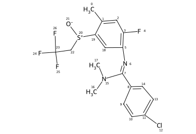 Cc1cc(F)c(/N=C(/c2ccc(Cl)cc2)N(C)C)cc1[S+]([O-])CC(F)(F)F